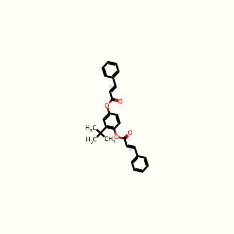 CC(C)(C)c1cc(OC(=O)/C=C/c2ccccc2)ccc1OC(=O)/C=C/c1ccccc1